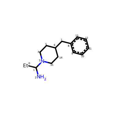 CCC(N)N1CCC(Cc2ccccc2)CC1